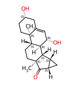 C[C@]12CC[C@H](O)CC1=C[C@H](O)[C@H]1[C@@H]3[C@@H]4C[C@@H]4C(=O)[C@@]3(C)CC[C@@H]12